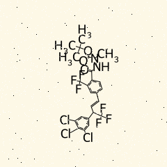 CN(NC(=O)c1ccc(C=CC(c2cc(Cl)c(Cl)c(Cl)c2)C(F)(F)F)cc1C(F)(F)F)C(=O)OC(C)(C)C